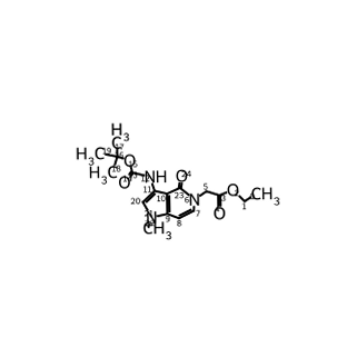 CCOC(=O)Cn1ccc2c(c(NC(=O)OC(C)(C)C)cn2C)c1=O